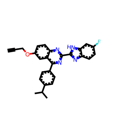 C#CCOc1ccc2nc(-c3nc4ccc(F)cc4[nH]3)nc(-c3ccc(C(C)C)cc3)c2c1